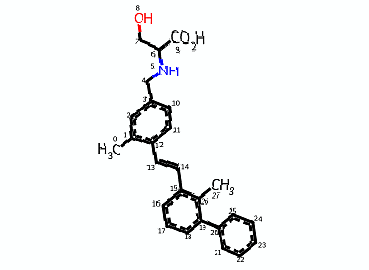 Cc1cc(CNC(CO)C(=O)O)ccc1C=Cc1cccc(-c2ccccc2)c1C